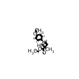 CCOC(=O)C1(C)C=CN(c2ccc(OC)cc2)N1